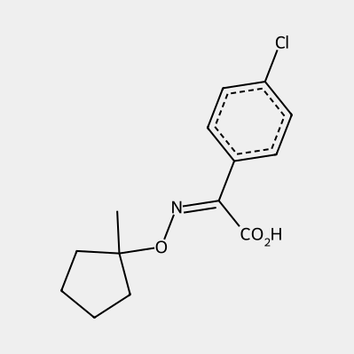 CC1(O/N=C(\C(=O)O)c2ccc(Cl)cc2)CCCC1